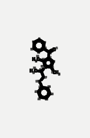 Cc1cc(C(=O)c2ccccc2)c(C)n1C(C)CSc1ccccc1